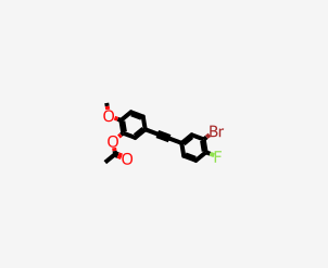 COc1ccc(C#Cc2ccc(F)c(Br)c2)cc1OC(C)=O